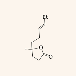 CC/C=C/CCC1(C)CCC(=O)O1